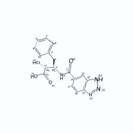 O=C(N[C@H](Cc1ccccc1)[C@@H](O)C(=O)O)c1ccc2nn[nH]c2c1